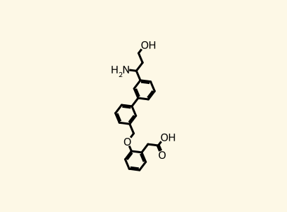 NC(CCO)c1cccc(-c2cccc(COc3ccccc3CC(=O)O)c2)c1